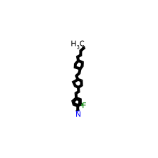 CCCCCC1CCC(CCC2CCC(CCc3ccc(C#N)c(F)c3)CC2)CC1